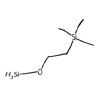 C[Si](C)(C)CCO[SiH3]